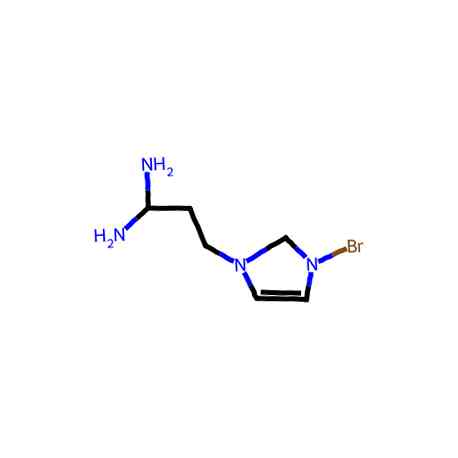 NC(N)CCN1C=CN(Br)C1